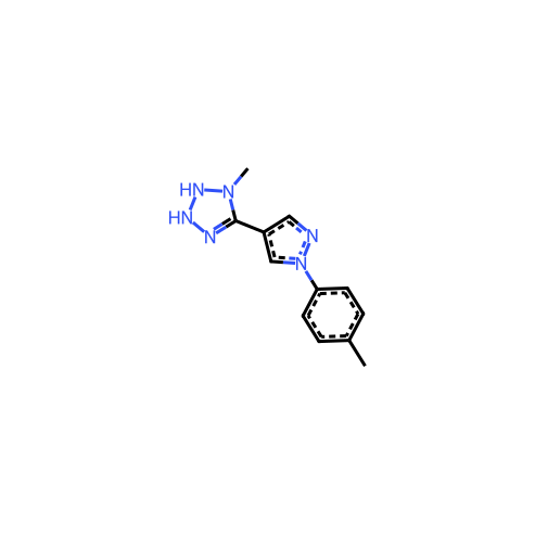 Cc1ccc(-n2cc(C3=NNNN3C)cn2)cc1